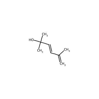 C=C(C)C=CC(C)(C)O